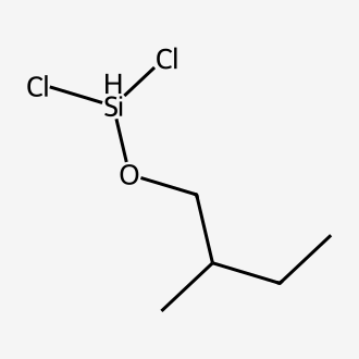 CCC(C)CO[SiH](Cl)Cl